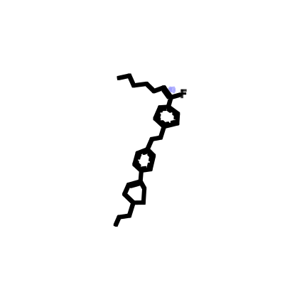 CCCCC/C=C(/F)c1ccc(CCc2ccc(C3=CCC(CCC)CC3)cc2)cc1